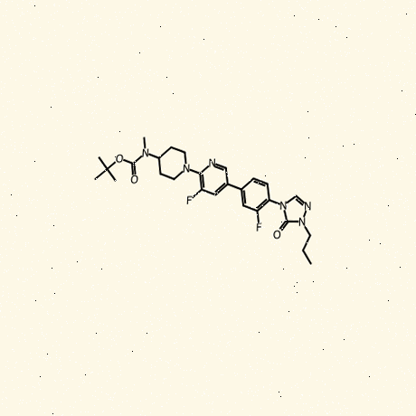 CCCn1ncn(-c2ccc(-c3cnc(N4CCC(N(C)C(=O)OC(C)(C)C)CC4)c(F)c3)cc2F)c1=O